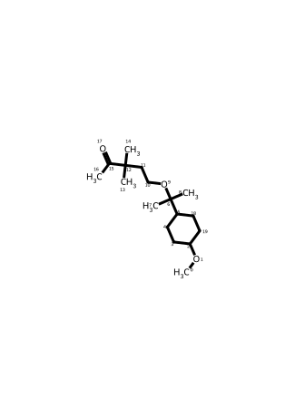 COC1CCC(C(C)(C)OCCC(C)(C)C(C)=O)CC1